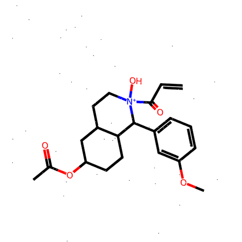 C=CC(=O)[N+]1(O)CCC2CC(OC(C)=O)CCC2C1c1cccc(OC)c1